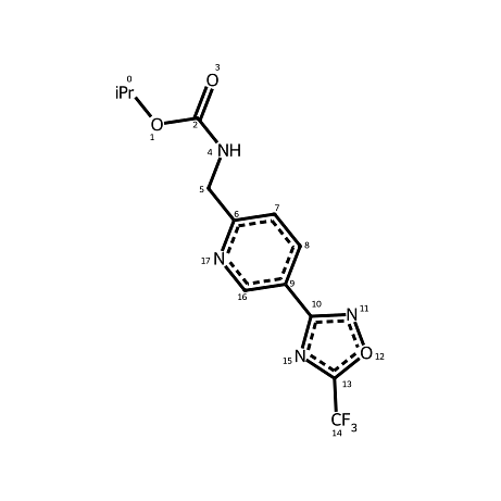 CC(C)OC(=O)NCc1ccc(-c2noc(C(F)(F)F)n2)cn1